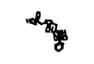 Cn1c(CCNS(=O)(=O)c2ccccc2)ccc1CC(=O)O